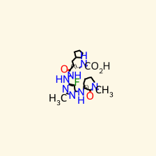 Cc1nc(NNC(=O)[C@@H](CNC(=O)O)CC2CCCC2)c(F)c(N[C@H]2CCCCN(C)C2=O)n1